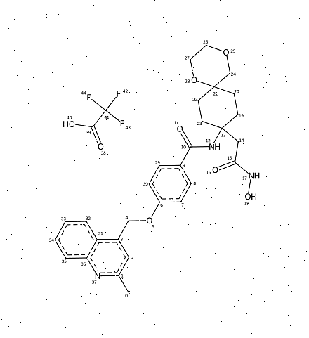 Cc1cc(COc2ccc(C(=O)NC3(CC(=O)NO)CCC4(CC3)COCCO4)cc2)c2ccccc2n1.O=C(O)C(F)(F)F